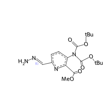 COC(=O)c1nc(/C=N/N)ccc1N(C(=O)OC(C)(C)C)C(=O)OC(C)(C)C